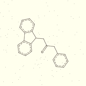 O=C(Cc1ccccc1)CC1c2ccccc2-c2ccccc21